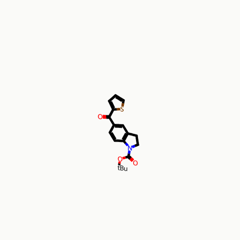 CC(C)(C)OC(=O)N1CCc2cc(C(=O)c3cccs3)ccc21